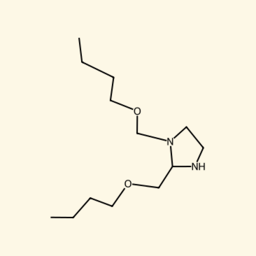 CCCCOCC1NCCN1COCCCC